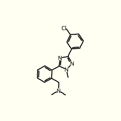 CN(C)Cc1ccccc1-c1nc(-c2cccc(Cl)c2)nn1C